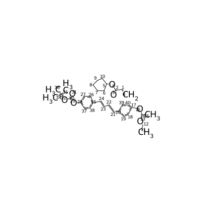 C=CC(=O)OC1CCCCC1.CCOC(C)Oc1ccc(C=CC=Cc2ccc(OC(=O)OC(C)(C)C)cc2)cc1